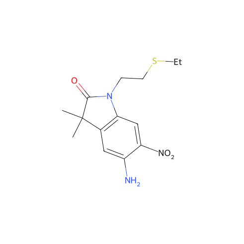 CCSCCN1C(=O)C(C)(C)c2cc(N)c([N+](=O)[O-])cc21